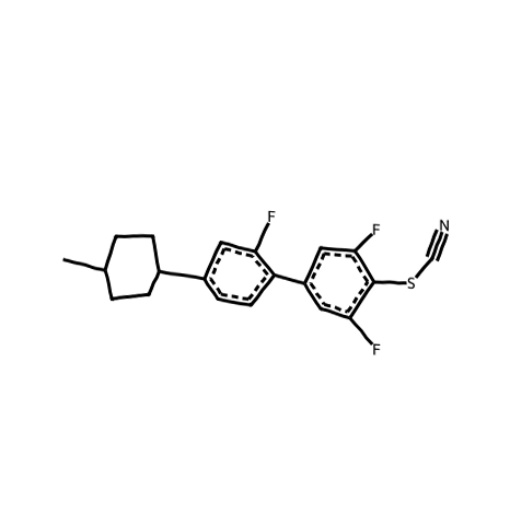 CC1CCC(c2ccc(-c3cc(F)c(SC#N)c(F)c3)c(F)c2)CC1